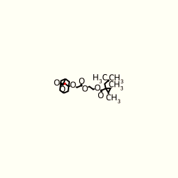 CC1CC1(CC(C)(C)C)C(=O)OCCOC(=O)COC12CC3CC(C1)OC(=O)C(C3)C2